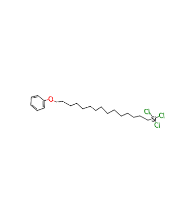 Cl[Si](Cl)(Cl)CCCCCCCCCCCCCCCOc1ccccc1